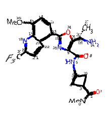 CNC(=O)C1CC(NC(=O)c2nc(-c3ccc(OC)c4nc(C(F)(F)F)ccc34)oc2[C@H](C)N)C1